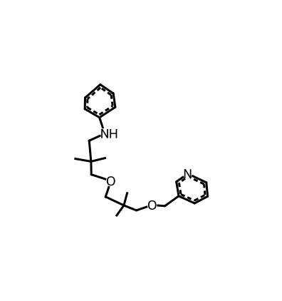 CC(C)(CNc1ccccc1)COCC(C)(C)COCc1cccnc1